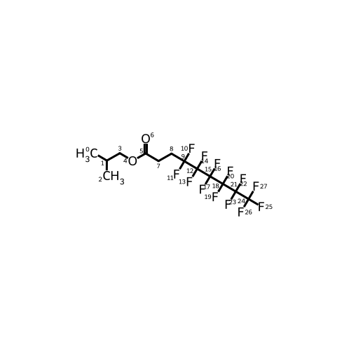 CC(C)COC(=O)CCC(F)(F)C(F)(F)C(F)(F)C(F)(F)C(F)(F)C(F)(F)F